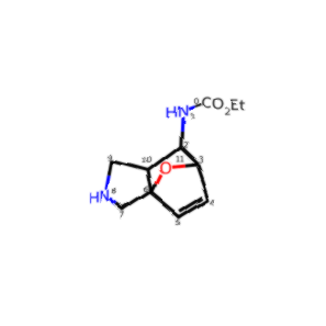 CCOC(=O)NC1C2C=CC3(CNCC13)O2